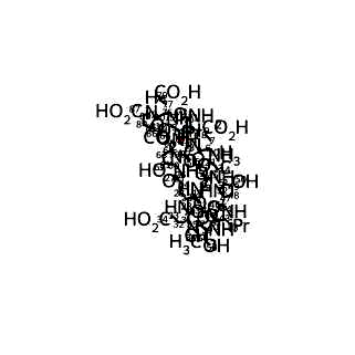 CC(C)C[C@H](NC(=O)[C@H](CCC(=O)O)NC(=O)[C@H](C)NC(=O)CNC(=O)[C@H](CCC(N)=O)NC(=O)[C@H](CCC(=O)O)N(C)C(=O)[C@@H](NC(=O)[C@@H](NC(=O)[C@@H]1C[C@@H](O)CN1)C(C)C)[C@@H](C)O)C(=O)N1C[C@H](O)C[C@H]1C(=O)N[C@H](CC(N)=O)C(=O)N[C@@H](CCC(=O)O)C(=O)N[C@@H](CCC(=O)O)C(=O)O